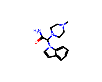 CN1CCN(C(C(N)=O)n2c[c]c3ccccc32)CC1